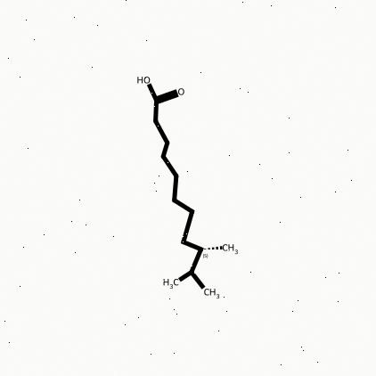 CC(C)[C@@H](C)CCCCCCCC(=O)O